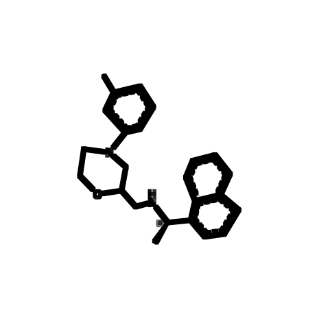 Cc1cccc(N2CCOC(CN[C@H](C)c3cccc4ccccc34)C2)c1